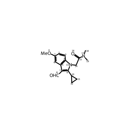 COc1ccc2c(c1)c(C=O)c(C1CC1)n2CC(=O)N(C)C